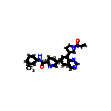 C=CC(=O)N1CCC(c2cc(-c3ccc(C(=O)Nc4cccc(C(F)(F)F)c4)nc3)cc3cncnc23)C1